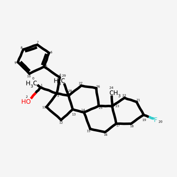 CC(O)C1(Cc2ccccc2)CCC2C3CCC4CC(F)CCC4(C)C3CCC21C